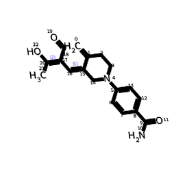 C=C1CCN(c2ccc(C(N)=O)cc2)C/C1=C/C(C=O)=C(\C)O